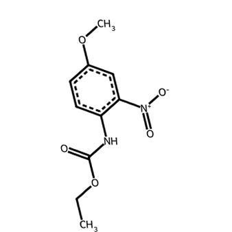 CCOC(=O)Nc1ccc(OC)cc1[N+](=O)[O-]